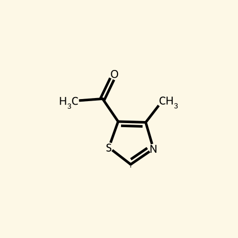 CC(=O)c1s[c]nc1C